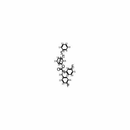 O=C(OC1C[N+]2(CSc3ccccc3)CCC1CC2)N(Cc1ccc(F)cc1)c1cccc(F)c1